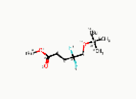 CC(C)(C)OC(=O)CCC(F)(F)CO[Si](C)(C)C(C)(C)C